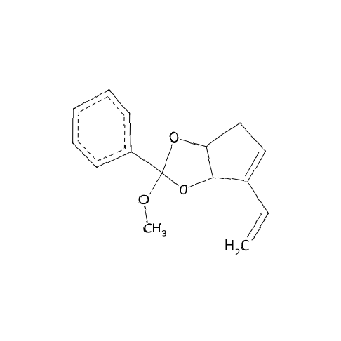 C=CC1=CCC2OC(OC)(c3ccccc3)OC12